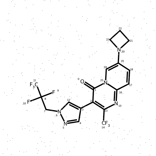 O=c1c(-c2cnn(CC(F)(F)C(F)(F)F)c2)c(C(F)(F)F)nc2ccc(N3CCC3)cn12